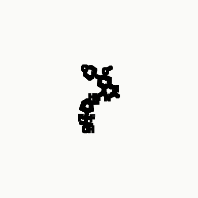 COc1cc2nc(C)nc(NCc3cccc(C(F)(F)C(C)(C)O)c3)c2cc1P1CCOCC1